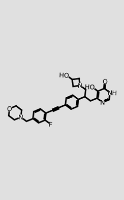 O=c1[nH]cnc(CC(CN2CC(O)C2)c2ccc(C#Cc3ccc(CN4CCOCC4)cc3F)cc2)c1O